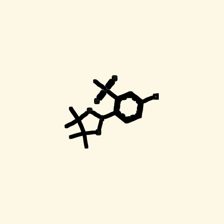 CC1(C)OB(c2ccc(Cl)cc2S(C)(=O)=O)OC1(C)C